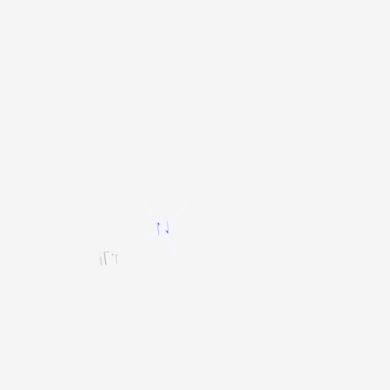 CC(C)[N+]1(C)CCc2ccccc21